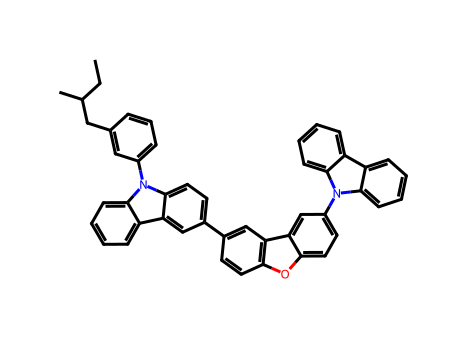 CCC(C)Cc1cccc(-n2c3ccccc3c3cc(-c4ccc5oc6ccc(-n7c8ccccc8c8ccccc87)cc6c5c4)ccc32)c1